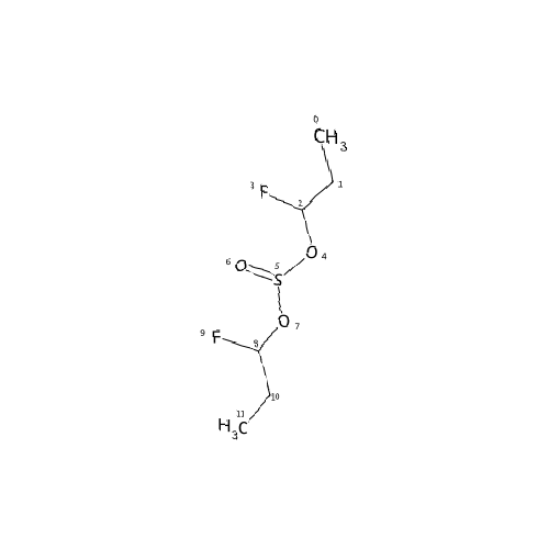 CCC(F)OS(=O)OC(F)CC